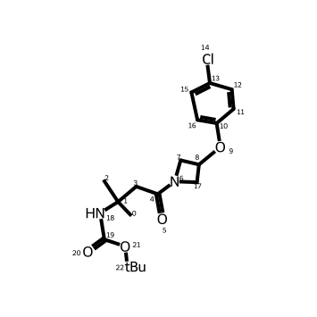 CC(C)(CC(=O)N1CC(Oc2ccc(Cl)cc2)C1)NC(=O)OC(C)(C)C